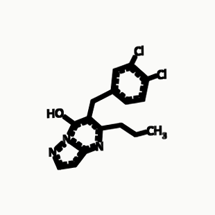 CCCc1nc2ccnn2c(O)c1Cc1ccc(Cl)c(Cl)c1